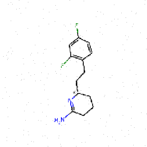 NC1=N[C@@H](CCc2ccc(F)cc2F)CCC1